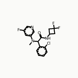 CN(c1cncc(F)c1)C(C(=O)NC1CC(F)(F)C1)c1ccccc1Cl